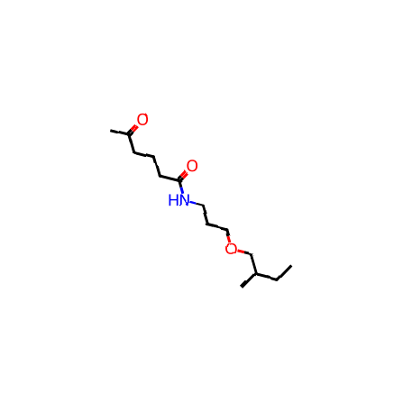 CCC(C)COCCCNC(=O)CCCC(C)=O